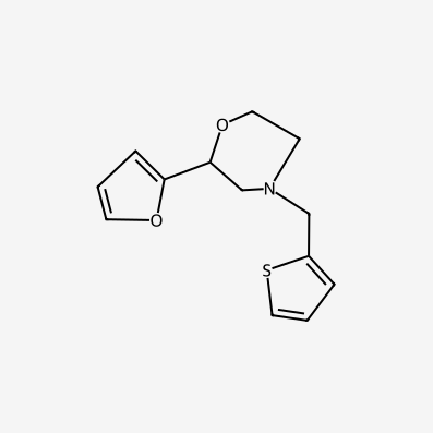 c1coc(C2CN(Cc3cccs3)CCO2)c1